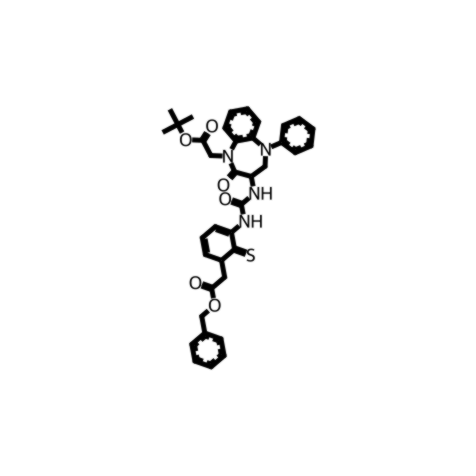 CC(C)(C)OC(=O)CN1C(=O)C(NC(=O)NC2=CC=CC(CC(=O)OCc3ccccc3)C2=S)CN(c2ccccc2)c2ccccc21